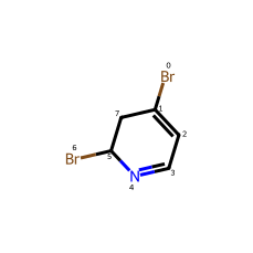 BrC1=CC=NC(Br)C1